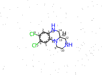 Clc1cc2c(cc1Cl)N1CCNC[C@@H]1CN2